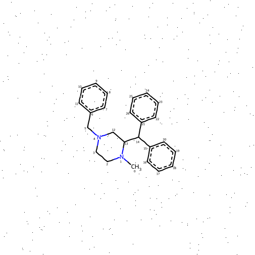 CN1CCN(Cc2ccccc2)CC1C(c1ccccc1)c1ccccc1